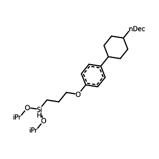 CCCCCCCCCCC1CCC(c2ccc(OCCC[SiH](OC(C)C)OC(C)C)cc2)CC1